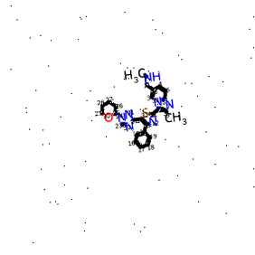 CNCc1ccc2nc(C)c(-c3nc(-c4ccccc4)c(-c4ncn(C5CCCCO5)n4)s3)n2c1